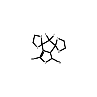 FC1(F)C2(SCCS2)C2=C(Br)SC(Br)C2C12SCCS2